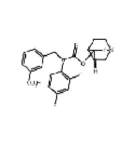 O=C(O)c1cccc(CN(C(=O)O[C@H]2CN3CCC2CC3)c2ccc(F)cc2F)c1